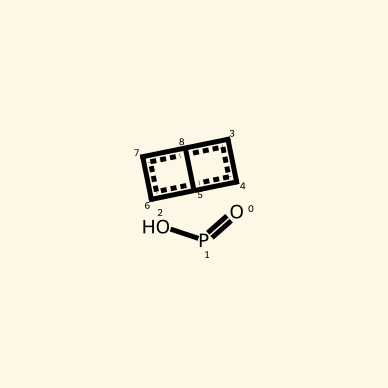 O=PO.c1cc2ccc1-2